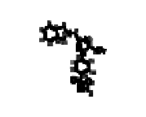 CC(C)c1nc(CN2Cc3ccccc3C2)nn1-c1ccc(S(N)(=O)=O)cc1